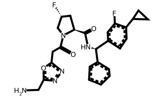 NCc1nnc(CC(=O)N2C[C@H](F)C[C@H]2C(=O)N[C@@H](c2ccccc2)c2ccc(C3CC3)c(F)c2)o1